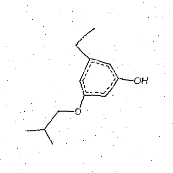 CCc1cc(O)cc(OCC(C)C)c1